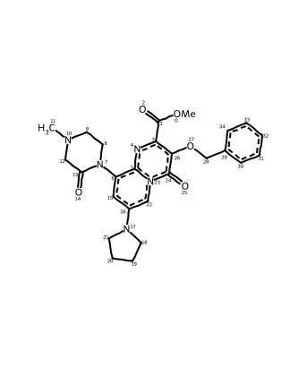 COC(=O)c1nc2c(N3CCN(C)CC3=O)cc(N3CCCC3)cn2c(=O)c1OCc1ccccc1